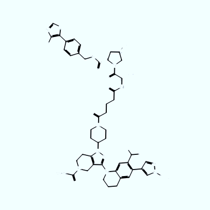 CNC(=O)N1CCc2c(c(N3CCCc4cc(-c5cnn(C)c5)c(C(F)F)cc43)nn2C2CCN(C(=O)CCCC(=O)N[C@H](C(=O)N3C[C@H](O)C[C@H]3C(=O)NCc3ccc(-c4scnc4C)cc3)C(C)(C)C)CC2)C1